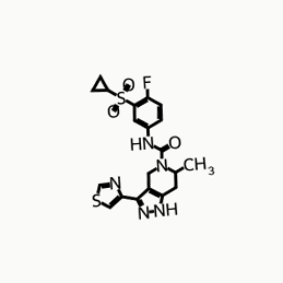 CC1Cc2[nH]nc(-c3cscn3)c2CN1C(=O)Nc1ccc(F)c(S(=O)(=O)C2CC2)c1